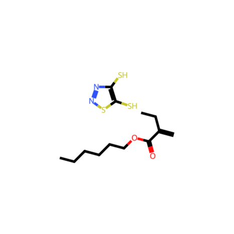 C=C(CC)C(=O)OCCCCCC.Sc1nnsc1S